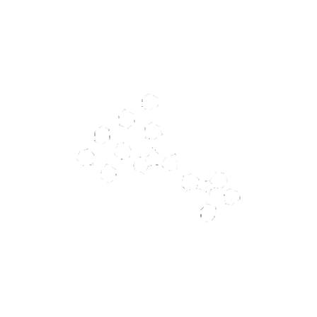 c1ccc(-c2ccccc2-n2c3ccccc3c3cc(-c4ccc5c(c4)c4ccccc4n5-c4ccc(-c5ccccc5-c5ccc(-c6cccc(C7(c8ccccc8)c8ccccc8-c8ccccc87)c6)cc5)cc4)ccc32)cc1